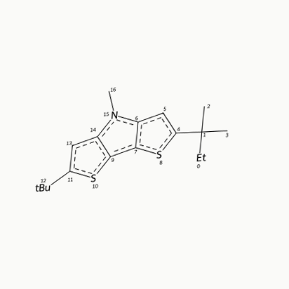 CCC(C)(C)c1cc2c(s1)c1sc(C(C)(C)C)cc1n2C